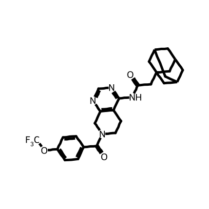 O=C(CC12CC3CC(CC(C3)C1)C2)Nc1ncnc2c1CCN(C(=O)c1ccc(OC(F)(F)F)cc1)C2